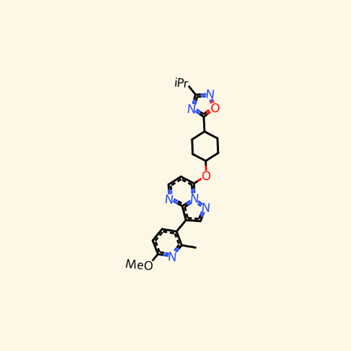 COc1ccc(-c2cnn3c(OC4CCC(c5nc(C(C)C)no5)CC4)ccnc23)c(C)n1